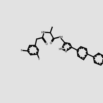 CC(NC(=O)Cc1cc(F)cc(F)c1)C(=O)Nc1cc(-c2ccc(-c3ccccc3)cc2)n[nH]1